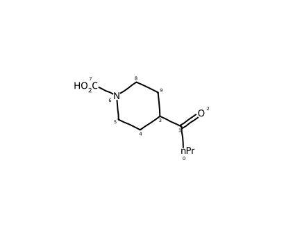 CCCC(=O)C1CCN(C(=O)O)CC1